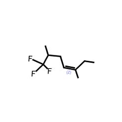 CC/C(C)=C\CC(C)C(F)(F)F